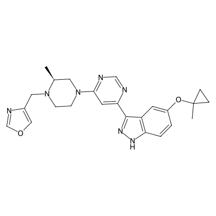 C[C@H]1CN(c2cc(-c3n[nH]c4ccc(OC5(C)CC5)cc34)ncn2)CCN1Cc1cocn1